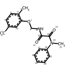 Cc1ccc(C)c(OCNC(=O)C(=O)N(C)c2ccccc2)c1